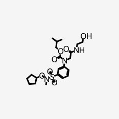 CC(C)COC(=O)N(CC(=O)NCCO)c1cccc(S(=O)(=O)N(C)OC2CCCC2)c1